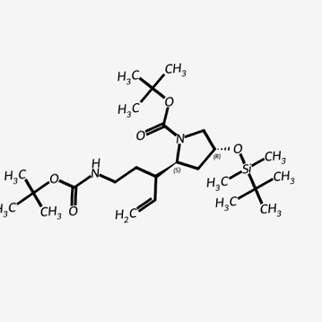 C=CC(CCNC(=O)OC(C)(C)C)[C@@H]1C[C@@H](O[Si](C)(C)C(C)(C)C)CN1C(=O)OC(C)(C)C